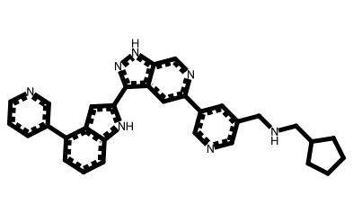 c1cncc(-c2cccc3[nH]c(-c4n[nH]c5cnc(-c6cncc(CNCC7CCCC7)c6)cc45)cc23)c1